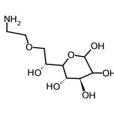 NCCOC[C@@H](O)C1OC(O)C(O)[C@@H](O)[C@@H]1O